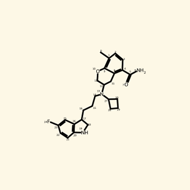 Cc1ccc(C(N)=O)c2c1OCC(N(CCCC1CNc3ccc(F)cc31)C1CCC1)C2